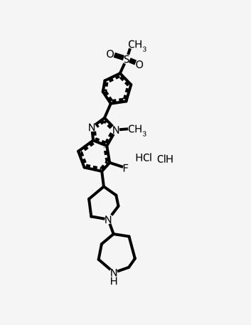 Cl.Cl.Cn1c(-c2ccc(S(C)(=O)=O)cc2)nc2ccc(C3CCN(C4CCCNCC4)CC3)c(F)c21